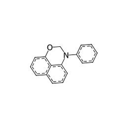 c1ccc(N2COc3cccc4cccc2c34)cc1